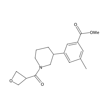 COC(=O)c1cc(C)cc(C2CCCN(C(=O)C3COC3)C2)c1